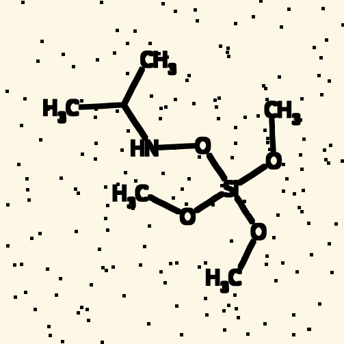 CO[Si](OC)(OC)ONC(C)C